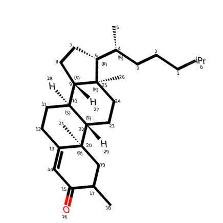 CC(C)CCC[C@@H](C)[C@H]1CC[C@H]2[C@@H]3CCC4=CC(=O)C(C)C[C@]4(C)[C@H]3CC[C@]12C